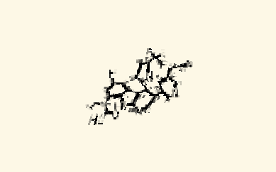 CCN(C(=O)O)c1cc(F)cc2c1[nH]c1ncc(-c3cncc(CC#N)c3)c(-n3ccc(C(F)(F)F)n3)c12